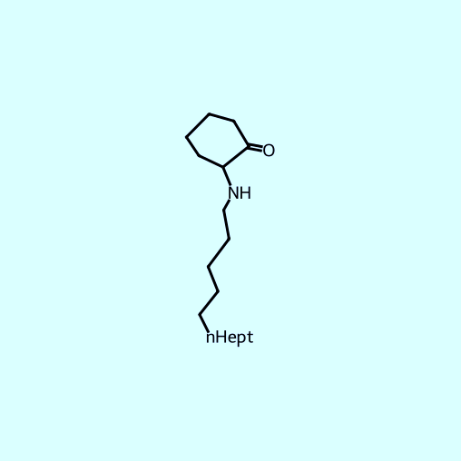 CCCCCCCCCCCCNC1CCCCC1=O